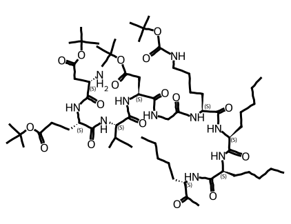 CCCCC[C@H](NC(=O)[C@H](CCCCC)NC(=O)[C@H](CCCCC)NC(=O)[C@H](CCCCNC(=O)OC(C)(C)C)NC(=O)CNC(=O)[C@H](CC(=O)OC(C)(C)C)NC(=O)[C@@H](NC(=O)[C@H](CCC(=O)OC(C)(C)C)NC(=O)[C@@H](N)CC(=O)OC(C)(C)C)C(C)C)C(C)=O